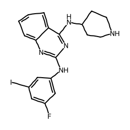 Fc1cc(I)cc(Nc2nc(NC3CCNCC3)c3ccccc3n2)c1